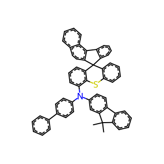 CC1(C)c2ccccc2-c2ccc(N(c3ccc(-c4ccccc4)cc3)c3cccc4c3Sc3ccccc3C43c4ccccc4-c4c3ccc3ccccc43)cc21